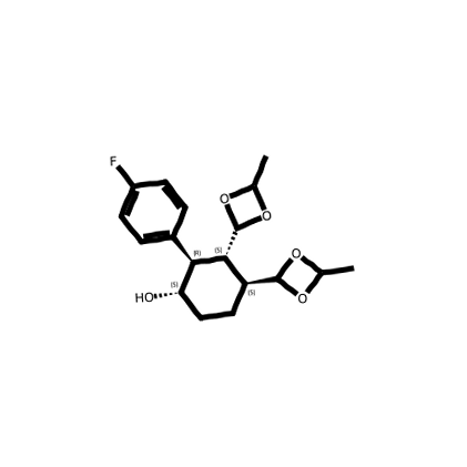 CC1OC([C@H]2[C@H](c3ccc(F)cc3)[C@@H](O)CC[C@@H]2C2OC(C)O2)O1